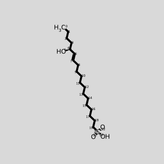 CCCC[C@H](O)/C=C/CCCCCCCCCCCCS(=O)(=O)O